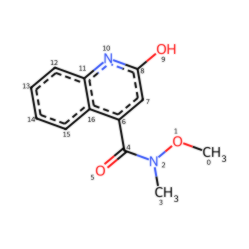 CON(C)C(=O)c1cc(O)nc2ccccc12